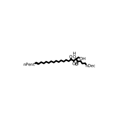 CCCCCC=CCCCCCCCCCCCCC(=O)C(O)C(O)(CO)C(=O)CCCCCCCCCCCCC